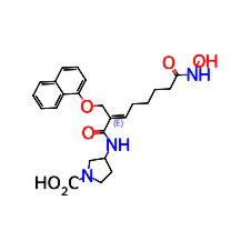 O=C(CCCC/C=C(\COc1cccc2ccccc12)C(=O)NC1CCN(C(=O)O)C1)NO